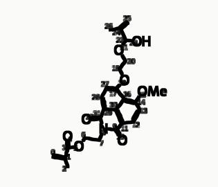 C=C(C)C(=O)OCCN1C(=O)c2ccc(OC)c3c(OCCOC(O)C(=C)C)ccc(c23)C1=O